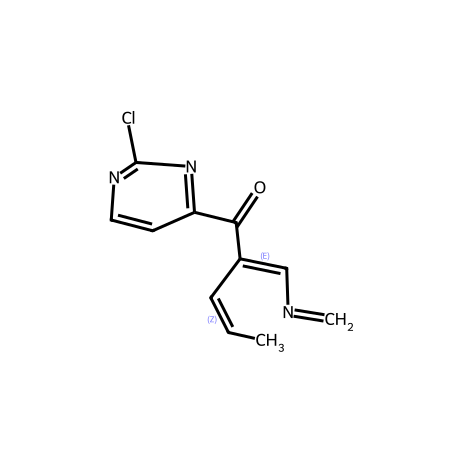 C=N/C=C(\C=C/C)C(=O)c1ccnc(Cl)n1